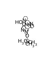 C[Si](C)(C)CCOCn1cc(-c2cccnn2)c2c(N3CCCC4(CCCCN4C(=O)O)C3)ccnc21